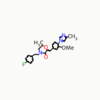 COc1cc(/C=C2\O[C@@H](C)CN(CCc3ccc(F)cc3)C2=O)ccc1-n1cnc(C)c1